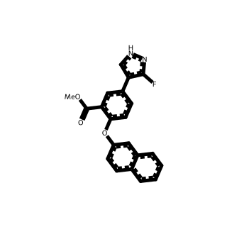 COC(=O)c1cc(-c2c[nH]nc2F)ccc1Oc1ccc2ccccc2c1